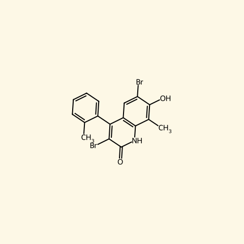 Cc1ccccc1-c1c(Br)c(=O)[nH]c2c(C)c(O)c(Br)cc12